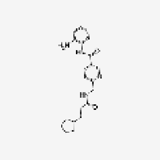 Nc1ccccc1NC(=O)c1ccc(CNC(=O)CCC2CCCC2)nc1